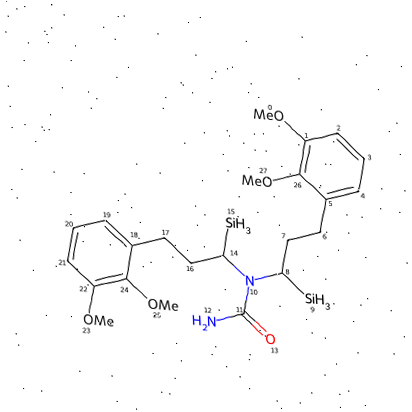 COc1cccc(CCC([SiH3])N(C(N)=O)C([SiH3])CCc2cccc(OC)c2OC)c1OC